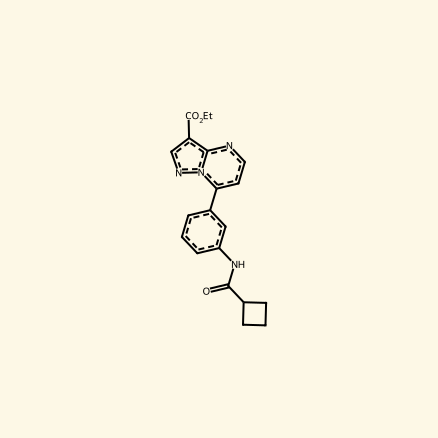 CCOC(=O)c1cnn2c(-c3cccc(NC(=O)C4CCC4)c3)ccnc12